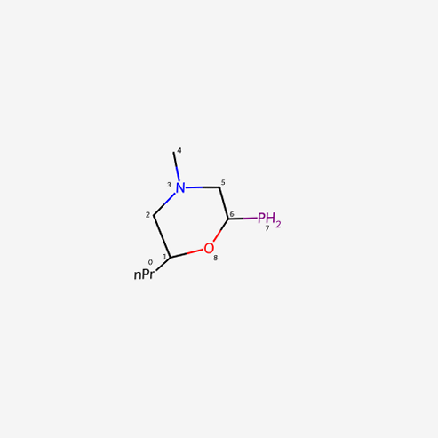 CCCC1CN(C)CC(P)O1